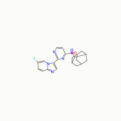 OC12CC3CC(C1)C(Nc1ccnc(-c4cnc5ccc(F)cn45)n1)C(C3)C2